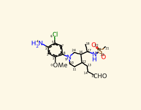 COc1cc(N)c(Cl)cc1N1CCC(CCC=O)C(C(C)NS(C)(=O)=O)C1